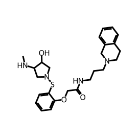 CNC1CN(Sc2ccccc2OCC(=O)NCCCN2CCc3ccccc3C2)CC1O